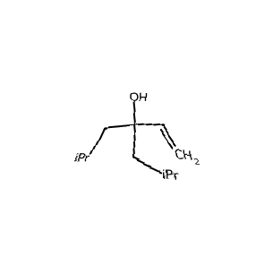 C=CC(O)(CC(C)C)CC(C)C